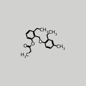 CCC(=O)Oc1cccc(CC)c1COc1ccc(C)cc1CC